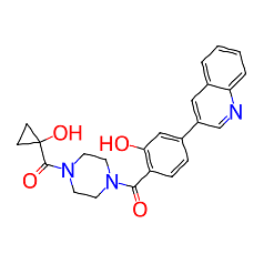 O=C(c1ccc(-c2cnc3ccccc3c2)cc1O)N1CCN(C(=O)C2(O)CC2)CC1